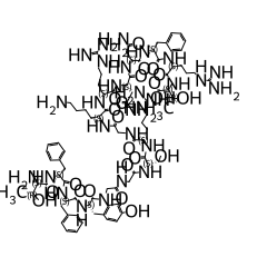 C[C@@H](O)[C@H](N)C(=O)N[C@@H](Cc1ccccc1)C(=O)N[C@@H](Cc1ccccc1)C(=O)N[C@@H](Cc1ccc(O)cc1)C(=O)NCC(=O)NCC(=O)N[C@@H](CO)C(=O)N[C@@H](CCCNC(=N)N)C(=O)NCC(=O)N[C@@H](CCCCN)C(=O)N[C@@H](CCCNC(=N)N)C(=O)N[C@@H](CC(N)=O)C(=O)N[C@@H](CC(N)=O)C(=O)N[C@@H](Cc1ccccc1)C(=O)N[C@@H](CCCNC(=N)N)C(=O)N[C@H](C(=O)O)[C@@H](C)O